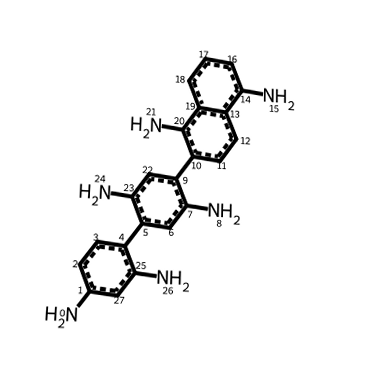 Nc1ccc(-c2cc(N)c(-c3ccc4c(N)cccc4c3N)cc2N)c(N)c1